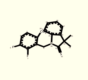 CCOC(=O)c1ccc(F)c(F)c1CN1C(=S)C(C)(C)c2ccccc21